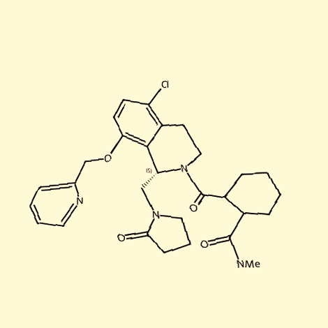 CNC(=O)C1CCCCC1C(=O)N1CCc2c(Cl)ccc(OCc3ccccn3)c2[C@H]1CN1CCCC1=O